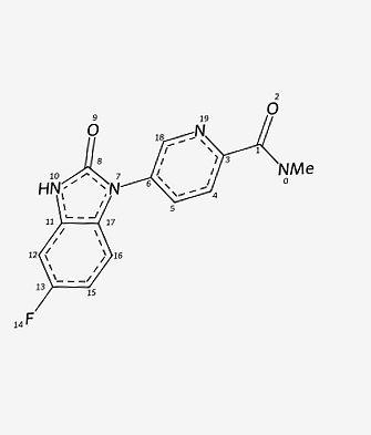 CNC(=O)c1ccc(-n2c(=O)[nH]c3cc(F)ccc32)cn1